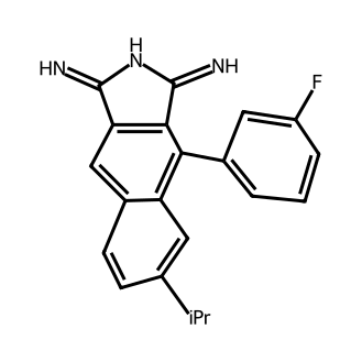 CC(C)c1ccc2cc3c(c(-c4cccc(F)c4)c2c1)C(=N)NC3=N